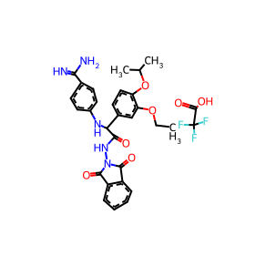 CCOc1cc(C(Nc2ccc(C(=N)N)cc2)C(=O)NN2C(=O)c3ccccc3C2=O)ccc1OC(C)C.O=C(O)C(F)(F)F